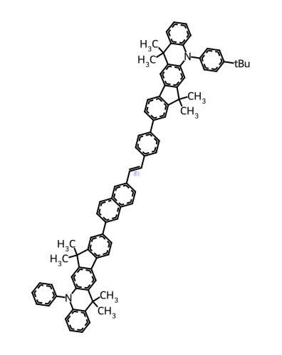 CC(C)(C)c1ccc(N2c3ccccc3C(C)(C)c3cc4c(cc32)C(C)(C)c2cc(-c3ccc(/C=C/c5ccc6cc(-c7ccc8c(c7)C(C)(C)c7cc9c(cc7-8)C(C)(C)c7ccccc7N9c7ccccc7)ccc6c5)cc3)ccc2-4)cc1